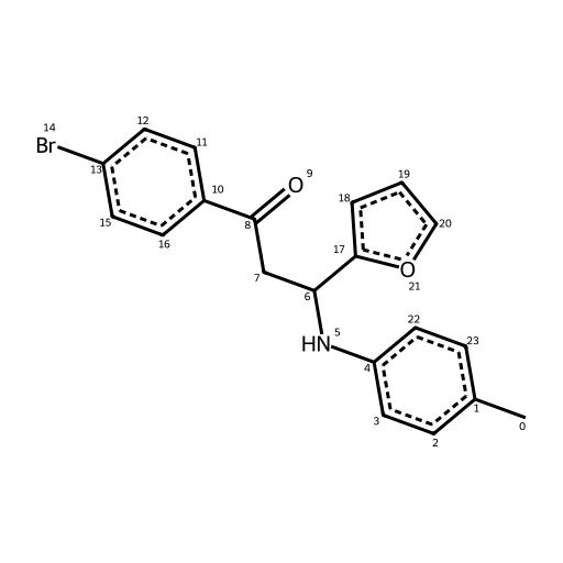 Cc1ccc(NC(CC(=O)c2ccc(Br)cc2)c2ccco2)cc1